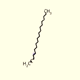 C=C=C/C=C/CCCCCCCCCCCCCCC